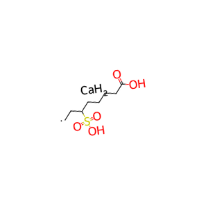 [CH2]CC(CCCCC(=O)O)S(=O)(=O)O.[CaH2]